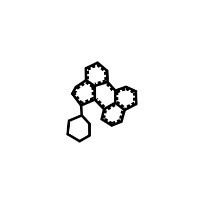 c1cc2cccc3c4c(C5CCCCC5)ccc5cccc(c(c1)c23)c54